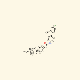 Cc1cc(Cl)ccc1-c1ccc(NC(=O)Cc2ccc(-c3ccc(C(C)(C)C)cc3)cc2)cc1